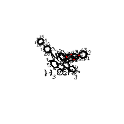 CC1(C)c2cccc(N(c3ccc(-c4ccccc4)cc3)c3ccc(-c4ccccc4)cc3)c2-c2c1c1ccccc1c1c2oc2ccc(-c3ccccc3)cc21